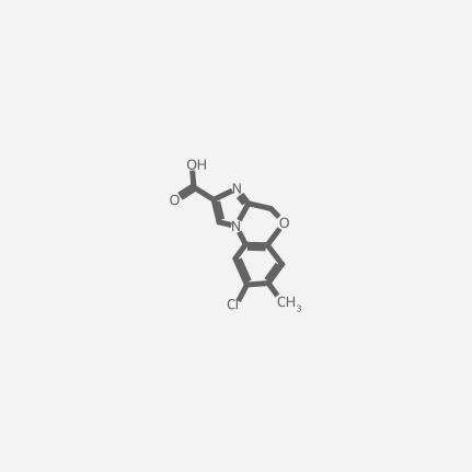 Cc1cc2c(cc1Cl)-n1cc(C(=O)O)nc1CO2